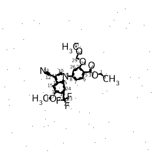 CCOC(=O)c1ccc(-n2cc(C#N)c3cc(OC)c(C(F)(F)F)cc32)cc1OCOC